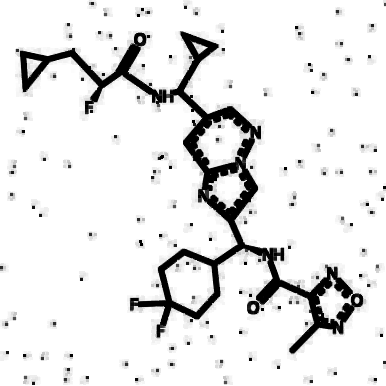 Cc1nonc1C(=O)N[C@H](c1cn2ncc(C(NC(=O)[C@@H](F)CC3CC3)C3CC3)cc2n1)C1CCC(F)(F)CC1